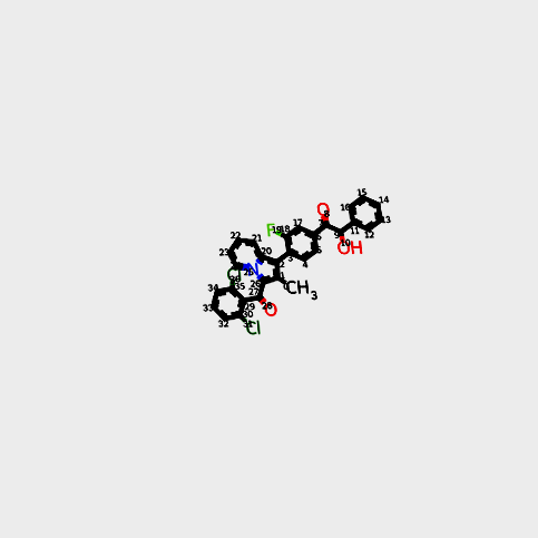 Cc1c(-c2ccc(C(=O)C(O)c3ccccc3)cc2F)c2ccccn2c1C(=O)c1c(Cl)cccc1Cl